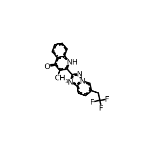 Cc1c(-c2nc3ccc(CC(F)(F)F)cn3n2)[nH]c2ccccc2c1=O